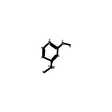 CNc1ccnc(OC)c1